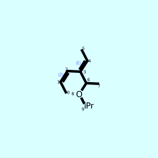 C/C=C\C(=C/C)C(C)OC(C)C